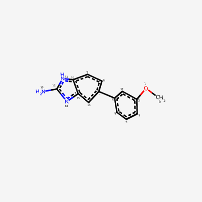 COc1cccc(-c2ccc3[nH]c(N)nc3c2)c1